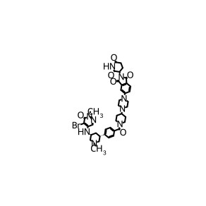 CN1C[C@H](Nc2cnn(C)c(=O)c2Br)C[C@H](c2ccc(C(=O)N3CCC(N4CCN(c5ccc6c(c5)C(=O)N(C5CCC(=O)NC5=O)C6=O)CC4)CC3)cc2)C1